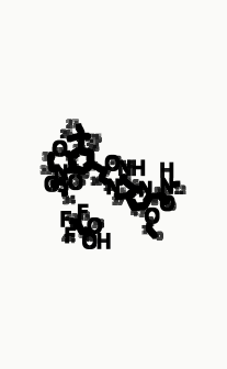 CCOc1cc2c(nc1C(=O)NC)C(=N)N(CC(=O)c1cc3c(c(C(C)(C)C)c1)OCCN3S(C)(=O)=O)C2.O=C(O)C(F)(F)F